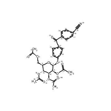 CC(=O)OC[C@H]1O[C@@H](Oc2ccc(C(=O)c3ccc(C#N)cc3)cc2)[C@@H](OC(C)=O)[C@@H](OC(C)=O)[C@@H]1OC(C)=O